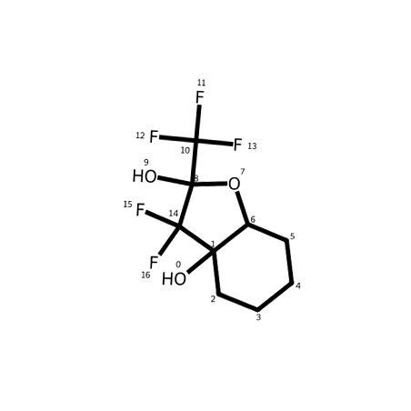 OC12CCCCC1OC(O)(C(F)(F)F)C2(F)F